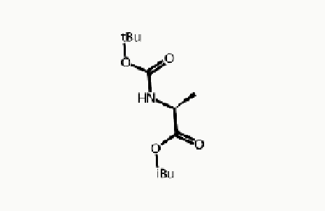 CCC(C)OC(=O)[C@H](C)NC(=O)OC(C)(C)C